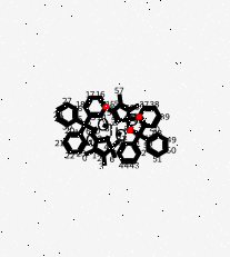 CC1=C(C)C(C)(C)[C]([Ti]([O]C(=O)C(c2ccccc2)(c2ccccc2)c2ccccc2)([O]C(=O)C(c2ccccc2)(c2ccccc2)c2ccccc2)[C]2=C(C)C(C)=C(C)C2(C)C)=C1C